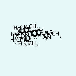 CSc1nccc(N2CCc3cc(-c4c(C)nc(C)c(C(OC(C)(C)C)C(=O)O)c4N4CCC(C)(C)CC4)ccc3C2)n1